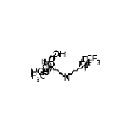 CN(CCCCCCC(F)(F)C(F)(F)C(F)(F)C(F)(F)F)CCCCC[C@@H]1Cc2cc(O)ccc2[C@@H]2[C@@H]1[C@@H]1CC[C@@](O)(C(F)(F)F)[C@@]1(C)C[C@@H]2F